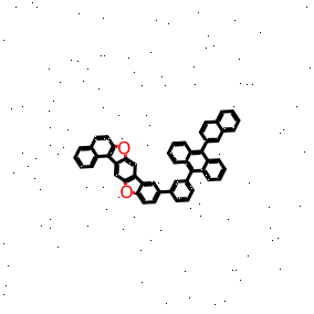 c1cc(-c2ccc3oc4cc5c(cc4c3c2)oc2ccc3ccccc3c25)cc(-c2c3ccccc3c(-c3ccc4ccccc4c3)c3ccccc23)c1